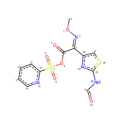 CO/N=C(\C(=O)OS(=O)(=O)c1ccccn1)c1csc(NC=O)n1